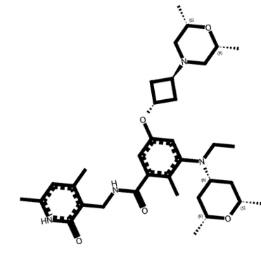 CCN(c1cc(O[C@H]2C[C@H](N3C[C@@H](C)O[C@@H](C)C3)C2)cc(C(=O)NCc2c(C)cc(C)[nH]c2=O)c1C)[C@H]1C[C@@H](C)O[C@@H](C)C1